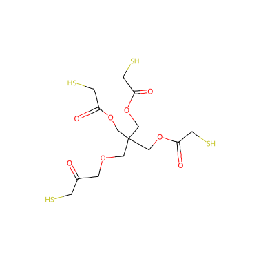 O=C(CS)COCC(COC(=O)CS)(COC(=O)CS)COC(=O)CS